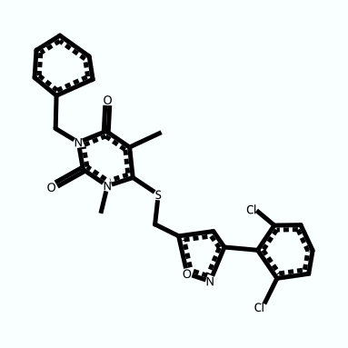 Cc1c(SCc2cc(-c3c(Cl)cccc3Cl)no2)n(C)c(=O)n(Cc2ccccc2)c1=O